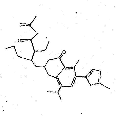 CCCC(CC1CC(=O)c2c(C)c(C3=CC=C(C)C3)cc(C(C)C)c2C1)C(CC)C(=O)CC(C)=O